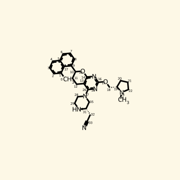 Cc1cccc2cccc(C3CCc4c(nc(OC[C@@H]5CCCN5C)nc4N4CCN[C@@H](CC#N)C4)O3)c12